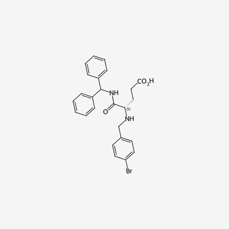 O=C(O)CC[C@H](NCc1ccc(Br)cc1)C(=O)NC(c1ccccc1)c1ccccc1